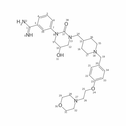 N=C(N)c1cccc(N2CC(O)CN(CC3CCN(Cc4ccc(OCCN5CCOCC5)cc4)CC3)C2=O)c1